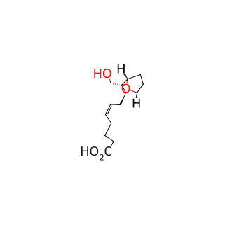 O=C(O)CCC/C=C\C[C@H]1[C@H](CO)[C@@H]2CC[C@H]1O2